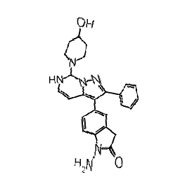 NN1C(=O)Cc2cc(-c3c(-c4ccccc4)nn4c3C=CNC4N3CCC(O)CC3)ccc21